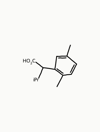 Cc1ccc(C)c(C(C(=O)O)C(C)C)c1